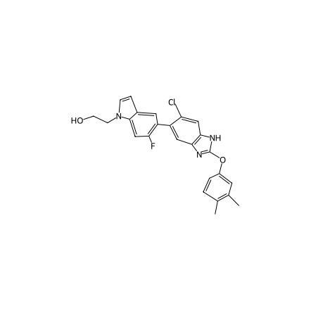 Cc1ccc(Oc2nc3cc(-c4cc5ccn(CCO)c5cc4F)c(Cl)cc3[nH]2)cc1C